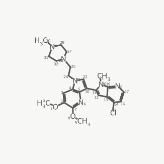 COc1cc2c(nc1OC)c(-c1cc3c(Cl)ccnc3n1C)cn2CCN1CCN(C)CC1